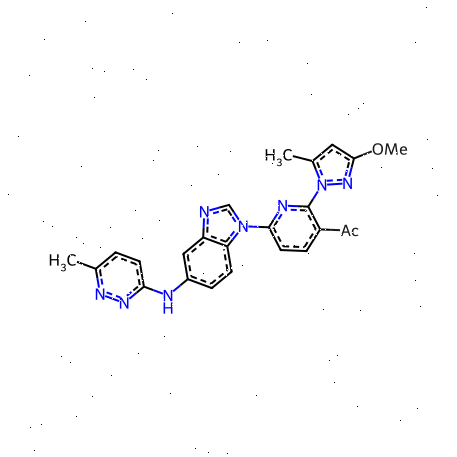 COc1cc(C)n(-c2nc(-n3cnc4cc(Nc5ccc(C)nn5)ccc43)ccc2C(C)=O)n1